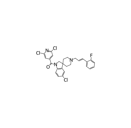 O=C(c1cc(Cl)nc(Cl)c1)N1CC2(CCN(C/C=C/c3ccccc3F)CC2)c2cc(Cl)ccc21